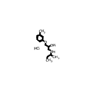 CCC(C)NCC(O)COc1cccc(C)c1.Cl